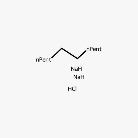 Cl.[CH2]CCCCCCCCCCC.[NaH].[NaH]